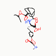 CC(C)OC(=O)C12CC3CC(CC(C(=O)N[C@@H](Cc4ccc(OC(=O)N(C)C)cc4)C(=O)O)(C3)C1)C2